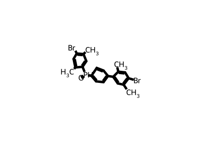 Cc1cc(-c2ccc([PH](=O)c3cc(C)c(Br)cc3C)cc2)c(C)cc1Br